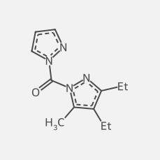 CCc1nn(C(=O)n2cccn2)c(C)c1CC